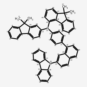 CC1(C)c2ccccc2-c2ccc(N(c3ccc(-c4cccc5ccc(-n6c7ccccc7c7ccccc76)cc45)cc3)c3cccc4c3-c3ccccc3C4(C)C)cc21